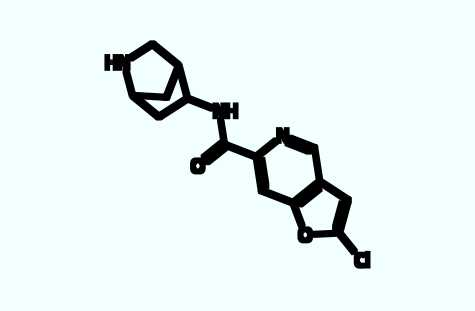 O=C(NC1CC2CC1CN2)c1cc2oc(Cl)cc2cn1